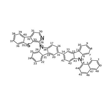 c1ccc2c(-n3c4ccccc4c4cc(-c5ccc6c(c5)c5ccccc5n6-c5nccc6c5sc5ccccc56)ccc43)cccc2c1